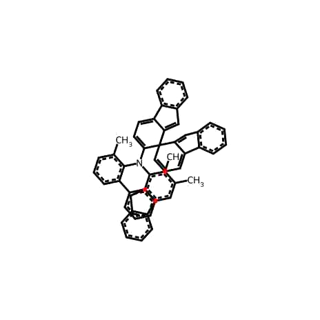 Cc1cc2c(c(N(C3=CC=C4C(=Cc5ccccc54)C34C=CC=C3C4=Cc4ccccc43)c3c(C)cccc3-c3ccccc3)c1C)Cc1ccccc1-2